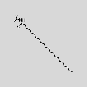 [CH2]C(C)NC(=O)CCCCCCCCCCCCCCCCCCCCC